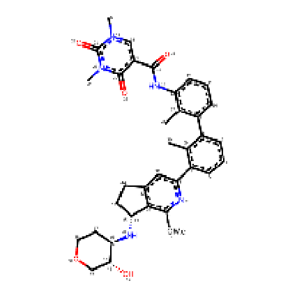 COc1nc(-c2cccc(-c3cccc(NC(=O)c4cn(C)c(=O)n(C)c4=O)c3C)c2C)cc2c1[C@H](N[C@@H]1CCOC[C@H]1O)CC2